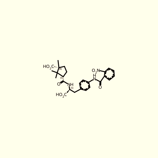 CC1(C)[C@@H](C(=O)N[C@@H](Cc2ccc(NC(=O)c3ccccc3[N+](=O)[O-])cc2)C(=O)O)CC[C@@]1(C)C(=O)O